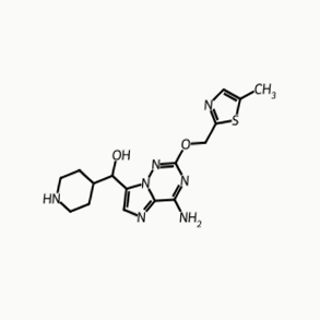 Cc1cnc(COc2nc(N)c3ncc(C(O)C4CCNCC4)n3n2)s1